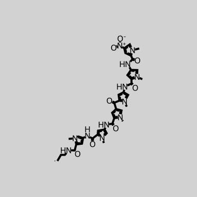 [CH2]CCNC(=O)c1cc(NC(=O)c2cc(NC(=O)c3cc(C(=O)c4cc(NC(=O)c5cc(NC(=O)c6cc([N+](=O)[O-])cn6C)cn5C)cn4C)cn3C)cn2C)cn1C